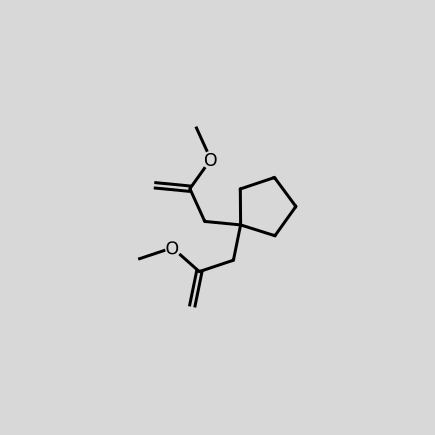 C=C(CC1(CC(=C)OC)CCCC1)OC